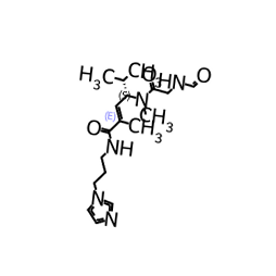 C/C(=C\[C@H](C(C)C)N(C)C(=O)CNC=O)C(=O)NCCCn1ccnc1